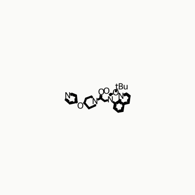 CC(C)(C)OC(=O)N(CC(=O)N1CCC(Oc2ccncc2)CC1)c1cccc2cccnc12